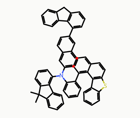 CC1(C)c2ccccc2-c2c(N(c3ccc4cc(-c5cccc6c5-c5ccccc5C6)ccc4c3)c3ccccc3-c3cccc4ccc5sc6ccccc6c5c34)cccc21